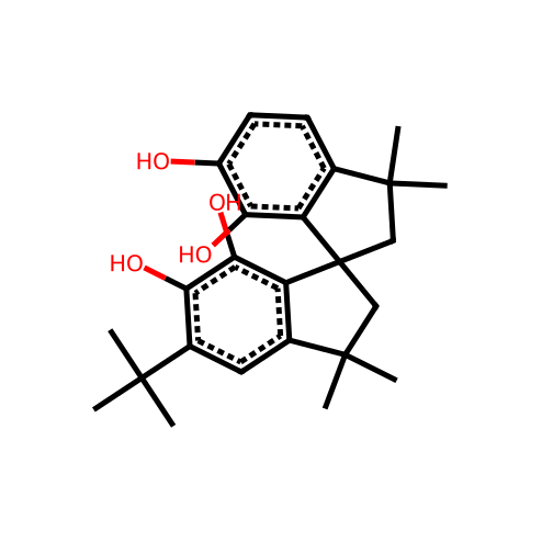 CC(C)(C)c1cc2c(c(O)c1O)C1(CC(C)(C)c3ccc(O)c(O)c31)CC2(C)C